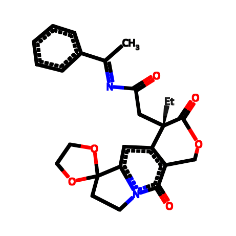 CC[C@@]1(CC(=O)/N=C(\C)c2ccccc2)C(=O)OCc2c1cc1n(c2=O)CCC12OCCO2